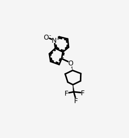 [O-][n+]1cccc2c(O[C@H]3CC[C@H](C(F)(F)F)CC3)cccc21